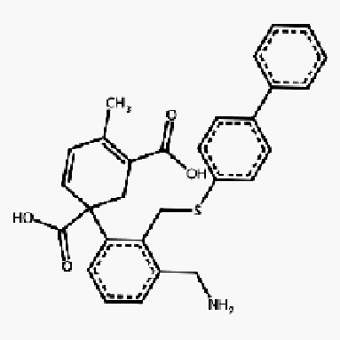 CC1=C(C(=O)O)CC(C(=O)O)(c2cccc(CN)c2CSc2ccc(-c3ccccc3)cc2)C=C1